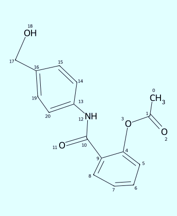 CC(=O)Oc1ccccc1C(=O)Nc1ccc(CO)cc1